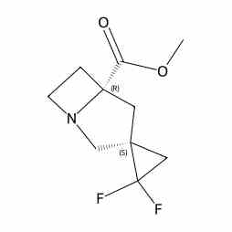 COC(=O)[C@@]12CCN1C[C@@]1(CC1(F)F)C2